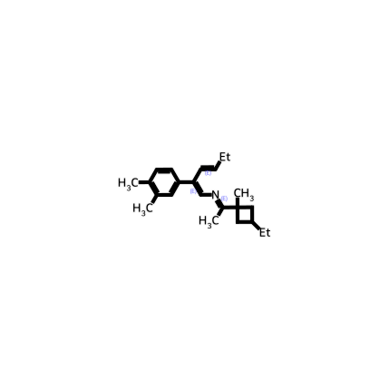 CC/C=C/C(=C\N=C(/C)C1(C)CC(CC)C1)c1ccc(C)c(C)c1